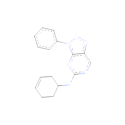 C1=CCC(Nc2ncc3nnn(-c4ccccc4)c3n2)CC1